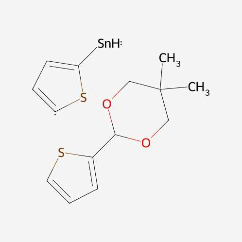 CC1(C)COC(c2cccs2)OC1.[SnH][c]1cc[c]s1